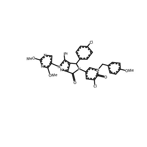 COc1ccc(Cn2cc(N3C(=O)c4nn(-c5cnc(OC)nc5OC)c(C(C)C)c4C3c3ccc(Cl)cc3)cc(Cl)c2=O)cc1